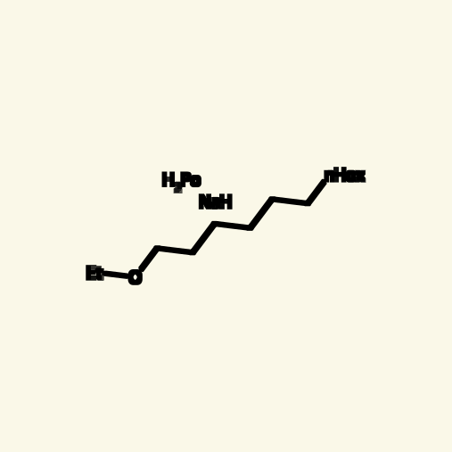 CCCCCCCCCCCCOCC.[NaH].[PoH2]